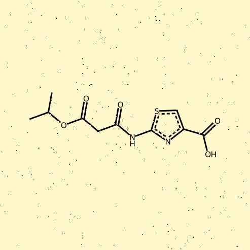 CC(C)OC(=O)CC(=O)Nc1nc(C(=O)O)cs1